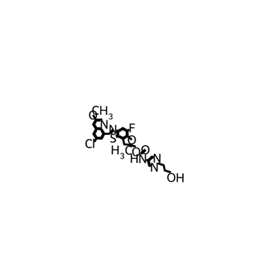 COc1cnc2c(-c3nc4cc(F)c5c(c4s3)C[C@](C)(COC(=O)Nc3cnc(CCCO)nc3)O5)cc(Cl)cc2c1